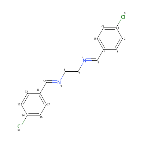 Clc1ccc(C=NCCN=Cc2ccc(Cl)cc2)cc1